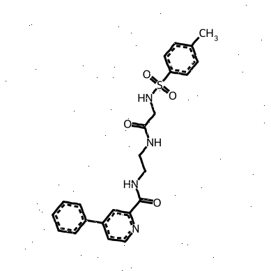 Cc1ccc(S(=O)(=O)NCC(=O)NCCNC(=O)c2cc(-c3ccccc3)ccn2)cc1